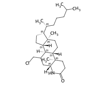 CC(C)CCC[C@@H](C)[C@H]1CC[C@H]2[C@@H]3C(CCl)C[C@H]4NC(=O)CC[C@]4(C)[C@H]3CC[C@]12C